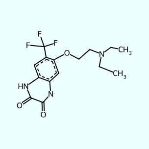 CCN(CC)CCOc1cc2c(cc1C(F)(F)F)NC(=O)C(=O)[N]2